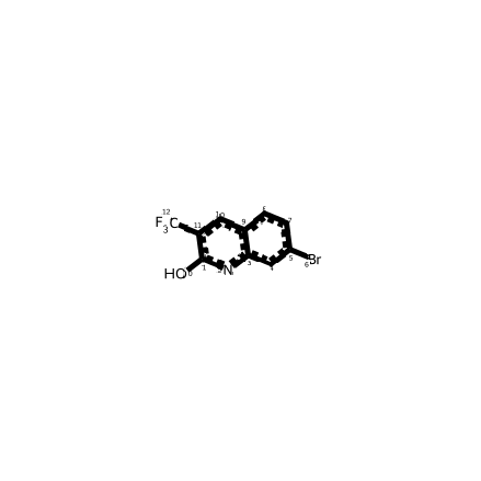 Oc1nc2cc(Br)ccc2cc1C(F)(F)F